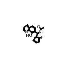 CC(=O)NC(c1ccccc1F)c1ccc2cccnc2c1O